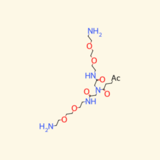 CC(=O)CCC(=O)N(CC(=O)NCCOCCOCCN)CC(=O)NCCOCCOCCN